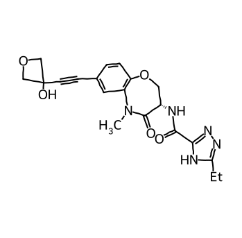 CCc1nnc(C(=O)N[C@H]2COc3ccc(C#CC4(O)COC4)cc3N(C)C2=O)[nH]1